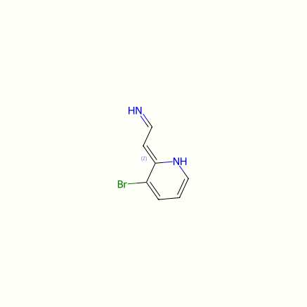 N=C/C=C1\NC=CC=C1Br